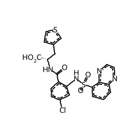 O=C(N[C@@H](Cc1ccsc1)C(=O)O)c1ccc(Cl)cc1NS(=O)(=O)c1cccc2nccnc12